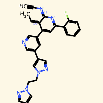 C#C/N=C1/N=C(c2ccccc2F)C=C(c2cncc(-c3cnn(CCn4cccn4)c3)c2)/C1=C/C